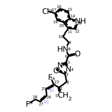 C=C(Cc1nc(C(=O)NCCc2c[nH]c3ccc(Cl)cc23)no1)/C(F)=C\C=C/CF